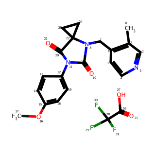 Cc1cnccc1CN1C(=O)N(c2ccc(OC(F)(F)F)cc2)C(=O)C12CC2.O=C(O)C(F)(F)F